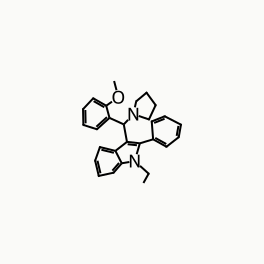 CCn1c(-c2ccccc2)c(C(c2ccccc2OC)N2CCCC2)c2ccccc21